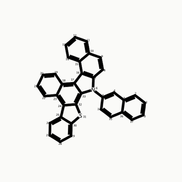 c1ccc2cc(-n3c4ccc5ccccc5c4c4c5ccccc5c5c6ccccc6sc5c43)ccc2c1